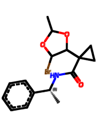 CC1OC(Br)C(C2(C(=O)N[C@H](C)c3ccccc3)CC2)O1